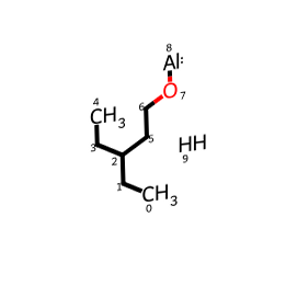 CCC(CC)CC[O][Al].[HH]